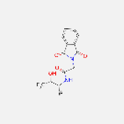 CC(C)C(NC(=O)CN1C(=O)c2ccccc2C1=O)C(O)C(F)(F)F